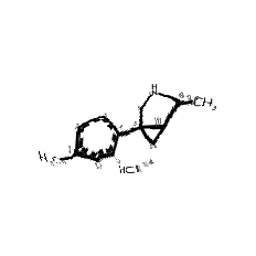 Cc1ccc(C23CNC(C)C2C3)cc1.Cl